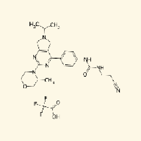 CC(C)N1Cc2nc(N3CCOCC3C)nc(-c3ccc(NC(=O)NCCC#N)cc3)c2C1.O=C(O)C(F)(F)F